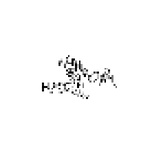 COc1cc2c(cc1Nc1ncc3c(C)nn(C4CCC(C(N)=O)CC4)c3n1)CN(C)CC2